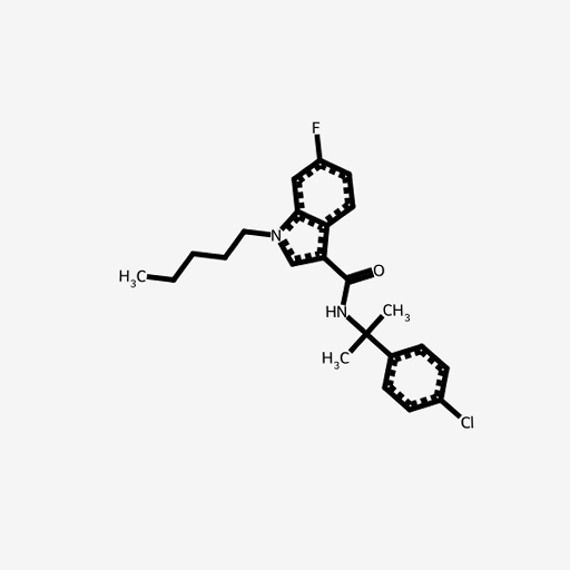 CCCCCn1cc(C(=O)NC(C)(C)c2ccc(Cl)cc2)c2ccc(F)cc21